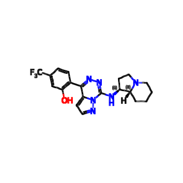 Oc1cc(C(F)(F)F)ccc1-c1nnc(N[C@H]2CCN3CCCC[C@H]23)n2nccc12